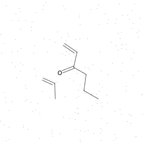 C=CC.C=CC(=O)CCC